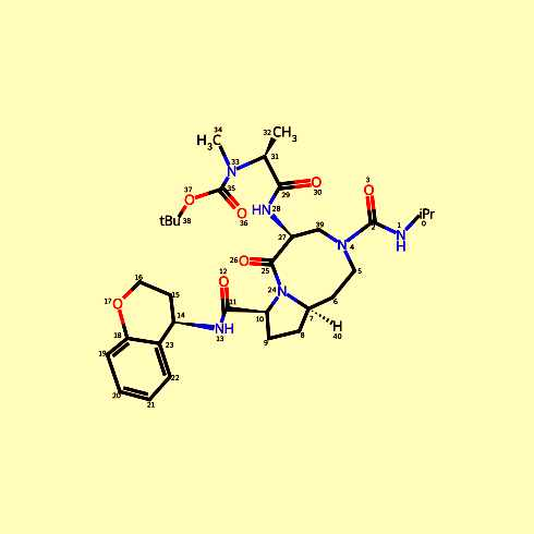 CC(C)NC(=O)N1CC[C@H]2CC[C@@H](C(=O)N[C@@H]3CCOc4ccccc43)N2C(=O)[C@@H](NC(=O)[C@H](C)N(C)C(=O)OC(C)(C)C)C1